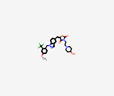 COc1ccc(Cn2ncc3cc(C=C4SC(=O)N(CCN5CCC(O)CC5)C4=O)ccc32)c(C(F)(F)F)c1